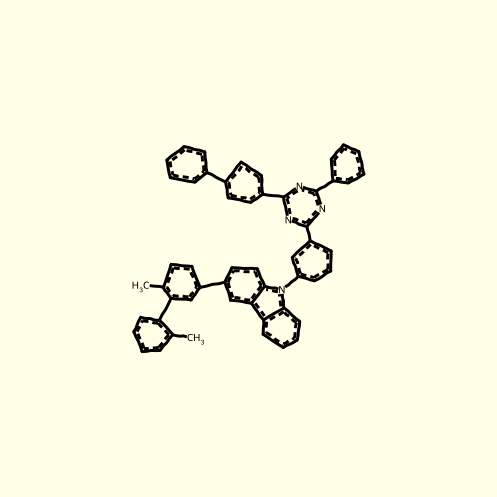 Cc1ccccc1-c1cc(-c2ccc3c(c2)c2ccccc2n3-c2cccc(-c3nc(-c4ccccc4)nc(-c4ccc(-c5ccccc5)cc4)n3)c2)ccc1C